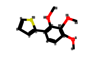 COc1ccc(-c2cccs2)c(OC)c1OC